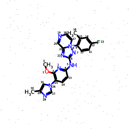 COc1nc(NC2=N[N+]3(c4ccc(F)cc4C)C=CN=CC3=N2)ccc1-n1cnc(C)c1